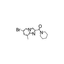 Cc1cc(Br)cn2cc(C(=O)N3CCCCC3)nc12